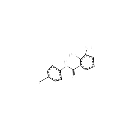 Nc1cccc(C(=O)Nc2ccc(Cl)cc2)c1O